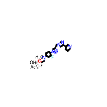 CC(=O)NC[C@@H](CN(C)c1ccc(-n2cc(Cn3cnc(-c4cccnc4)c3)nn2)c(F)c1)OC=O